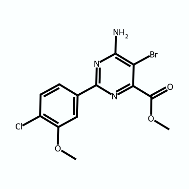 COC(=O)c1nc(-c2ccc(Cl)c(OC)c2)nc(N)c1Br